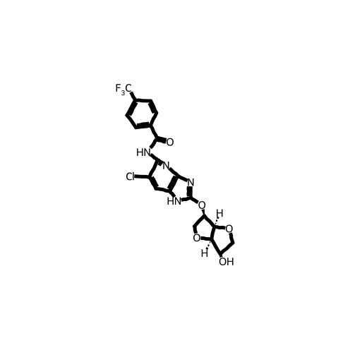 O=C(Nc1nc2nc(O[C@@H]3CO[C@H]4[C@@H]3OC[C@H]4O)[nH]c2cc1Cl)c1ccc(C(F)(F)F)cc1